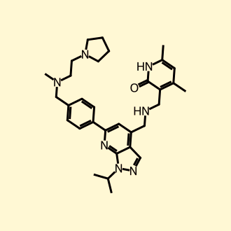 Cc1cc(C)c(CNCc2cc(-c3ccc(CN(C)CCN4CCCC4)cc3)nc3c2cnn3C(C)C)c(=O)[nH]1